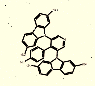 CC(C)(C)c1ccc2c3ccc(C(C)(C)C)cc3n(-c3cncc(-n4c5cc(C(C)(C)C)ccc5c5ccc(C(C)(C)C)cc54)c3-c3ccc(C#N)cc3)c2c1